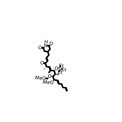 C=CCC/C=C/[C@H](OC)[C@@H](OCOC)[C@H](C)[C@@H](O[Si](CC)(CC)CC)/C(C)=C/[C@H](C)C(=O)/C=C/CC1CC(=O)NC(=O)C1